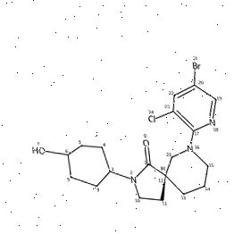 O=C1N(C2CCC(O)CC2)CC[C@@]12CCCN(c1ncc(Br)cc1Cl)C2